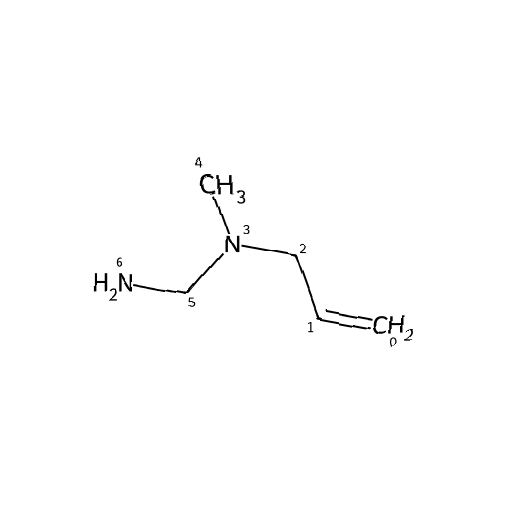 C=CCN(C)CN